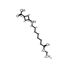 CCOC(=O)CCCCCCCNC1CC(C(=O)O)C1